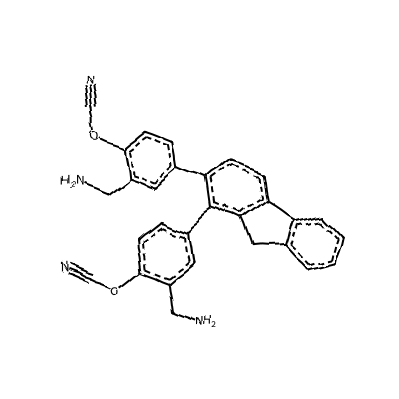 N#COc1ccc(-c2ccc3c(c2-c2ccc(OC#N)c(CN)c2)Cc2ccccc2-3)cc1CN